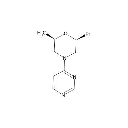 CC[C@H]1CN(c2ccncn2)C[C@@H](C)O1